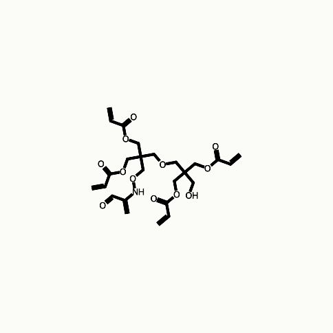 C=CC(=O)OCC(CO)(COCC(CONC(=C)C=O)(COC(=O)C=C)COC(=O)C=C)COC(=O)C=C